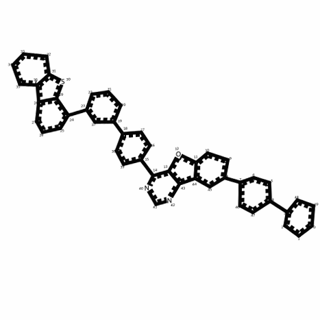 c1ccc(-c2ccc(-c3ccc4oc5c(-c6ccc(-c7cccc(-c8cccc9c8sc8ccccc89)c7)cc6)ncnc5c4c3)cc2)cc1